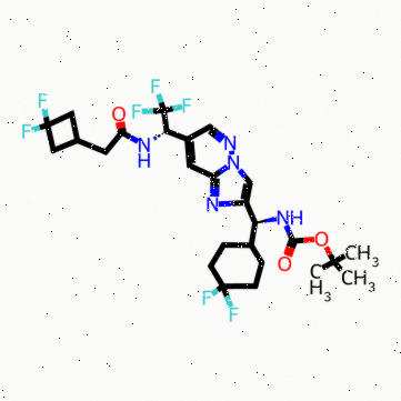 CC(C)(C)OC(=O)N[C@H](c1cn2ncc([C@H](NC(=O)CC3CC(F)(F)C3)C(F)(F)F)cc2n1)C1CCC(F)(F)CC1